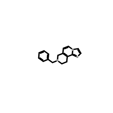 c1ccc(CN2CCc3c(ccn4ccnc34)C2)cc1